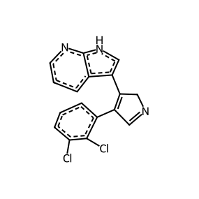 Clc1cccc(C2=C(c3c[nH]c4ncccc34)CN=C2)c1Cl